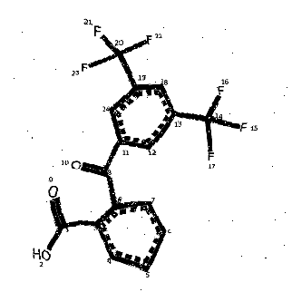 O=C(O)c1ccccc1C(=O)c1cc(C(F)(F)F)cc(C(F)(F)F)c1